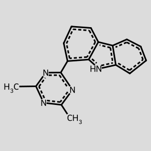 Cc1nc(C)nc(-c2cccc3c2[nH]c2ccccc23)n1